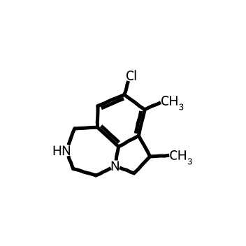 Cc1c(Cl)cc2c3c1C(C)CN3CCNC2